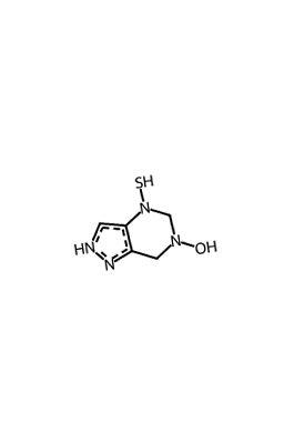 ON1Cc2n[nH]cc2N(S)C1